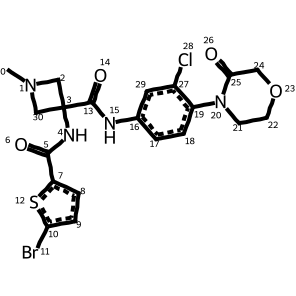 CN1CC(NC(=O)c2ccc(Br)s2)(C(=O)Nc2ccc(N3CCOCC3=O)c(Cl)c2)C1